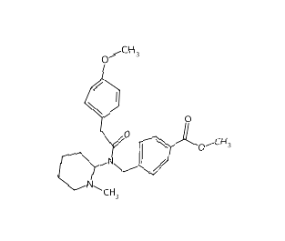 COC(=O)c1ccc(CN(C(=O)Cc2ccc(OC)cc2)C2CCCCN2C)cc1